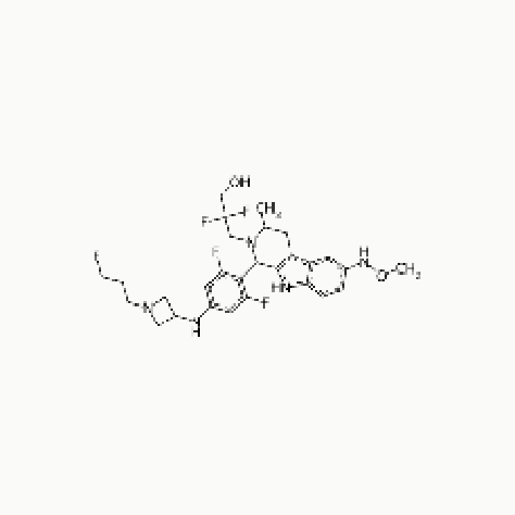 CONc1ccc2[nH]c3c(c2c1)CC(C)N(CC(F)(F)CO)C3c1c(F)cc(NC2CN(CCCF)C2)cc1F